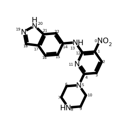 O=[N+]([O-])c1ccc(N2CCNCC2)nc1Nc1ccc2cn[nH]c2c1